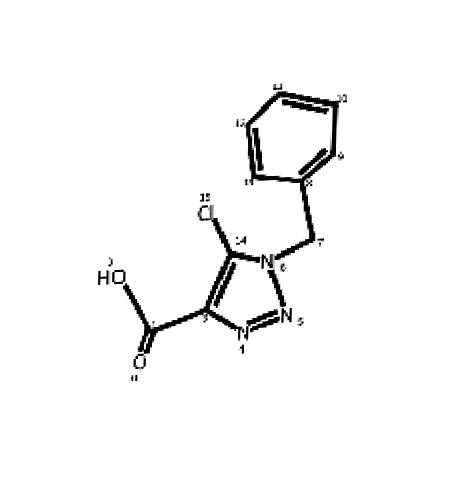 O=C(O)c1nnn(Cc2ccccc2)c1Cl